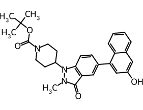 Cn1c(=O)c2cc(-c3cc(O)cc4ccccc34)ccc2n1C1CCN(C(=O)OC(C)(C)C)CC1